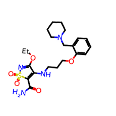 CCOC1=NS(=O)(=O)C(C(N)=O)=C1NCCCOc1ccccc1CN1CCCCC1